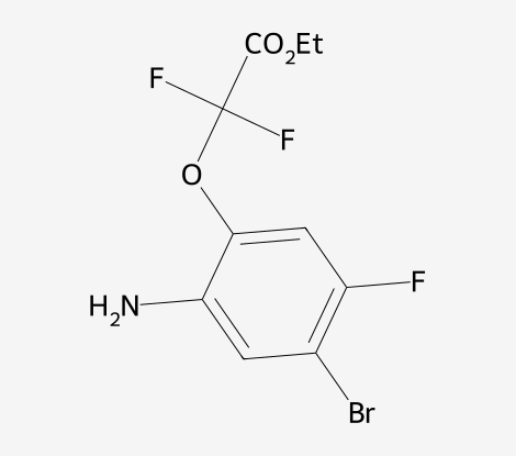 CCOC(=O)C(F)(F)Oc1cc(F)c(Br)cc1N